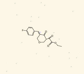 CCOC(=O)C(=O)C1COC/C(=C\c2ccc(F)cc2)C1=O